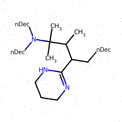 CCCCCCCCCCCC(C1=NCCCN1)C(C)C(C)(C)N(CCCCCCCCCC)CCCCCCCCCC